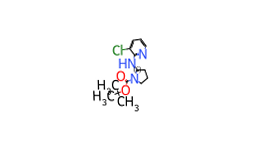 CC(C)(C)OC(=O)N1CCC[C@H]1Nc1ncccc1Cl